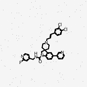 O=C(NCc1ccnc(F)c1)N1CC2(CCN(CC=Cc3ccc(Cl)c(Cl)c3)CC2)c2cc(-c3cccnc3)ccc21